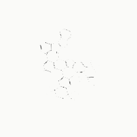 Cc1cc2c3c(c1)N(c1cc4c(cc1C)C(C)(C)CCC4(C)C)c1c(sc4cc5c(cc14)C(C)(C)CCC5(C)C)B3n1c3sc4ccccc4c3c3cccc-2c31